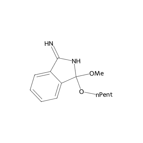 CCCCCOC1(OC)NC(=N)c2ccccc21